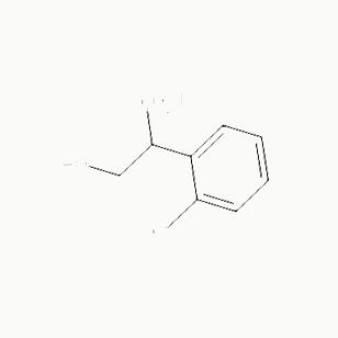 O=C(O)C(CO)c1ccccc1Cl